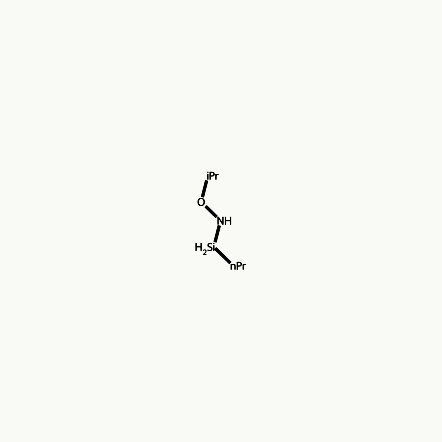 CCC[SiH2]NOC(C)C